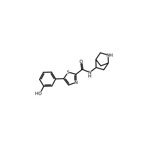 O=C(NC1CC2CC1CN2)c1ncc(-c2cccc(O)c2)s1